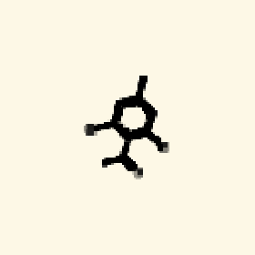 CC(=O)c1c(Cl)cc(C)cc1Cl